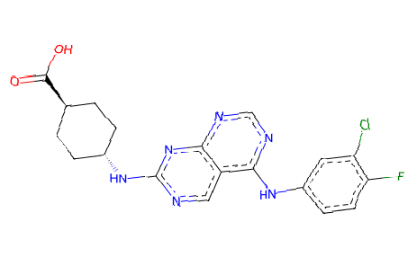 O=C(O)[C@H]1CC[C@H](Nc2ncc3c(Nc4ccc(F)c(Cl)c4)ncnc3n2)CC1